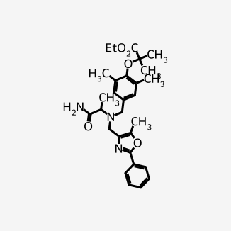 CCOC(=O)C(C)(C)Oc1c(C)cc(CN(Cc2nc(-c3ccccc3)oc2C)C(C)C(N)=O)cc1C